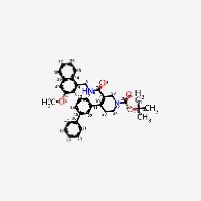 COc1cc(CNC(=O)C2=C(c3cccc(-c4ccccc4)c3)CCN(C(=O)OC(C)(C)C)C2)c2ccccc2c1